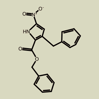 O=C(OCc1ccccc1)c1[nH]c([N+](=O)[O-])cc1Cc1ccccc1